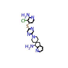 Nc1nccc(Sc2cnc(N3CCC4(CC3)Cc3cccnc3[C@H]4N)cn2)c1Cl